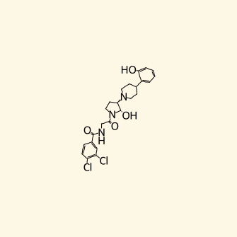 O=C(NCC(=O)N1CC[C@@H](N2CCC(c3ccccc3O)CC2)[C@@H]1O)c1ccc(Cl)c(Cl)c1